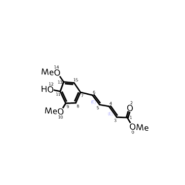 COC(=O)/C=C/C=C/c1cc(OC)c(O)c(OC)c1